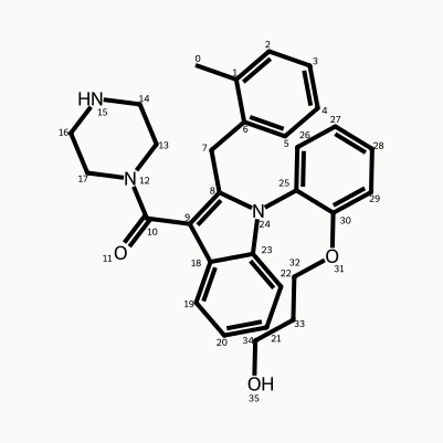 Cc1ccccc1Cc1c(C(=O)N2CCNCC2)c2ccccc2n1-c1ccccc1OCCCO